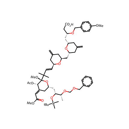 C=C1C[C@H](C[C@@H]2CC(=C)C[C@H](/C=C/C(C)(C)[C@]3(OC)O[C@H](C[C@@H](O[Si](C)(C)C(C)(C)C)[C@@H](C)OCOCc4ccccc4)C/C(=C\C(=O)OC)[C@@H]3OC(C)=O)O2)O[C@H](C[C@H](CC(=O)O)OCc2ccc(OC)cc2)C1